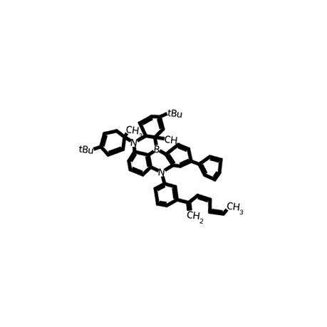 C=C(/C=C\C=C/C)c1cccc(N2c3cc(-c4ccccc4)ccc3B3c4c2cccc4N(C2(C)C=CC(C(C)(C)C)=CC2)C2C=CC(C(C)(C)C)=CC32C)c1